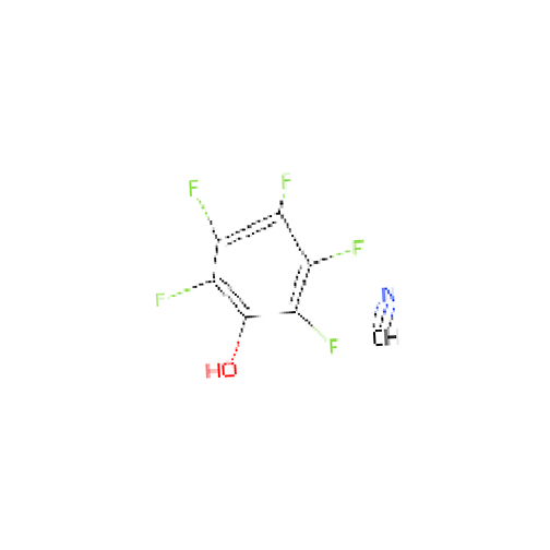 C#N.Oc1c(F)c(F)c(F)c(F)c1F